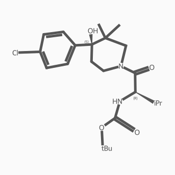 CC(C)[C@@H](NC(=O)OC(C)(C)C)C(=O)N1CC[C@](O)(c2ccc(Cl)cc2)C(C)(C)C1